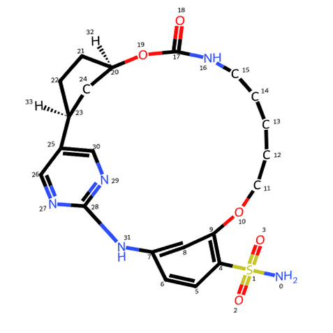 NS(=O)(=O)c1ccc2cc1OCCCCCNC(=O)O[C@@H]1CC[C@@H](C1)c1cnc(nc1)N2